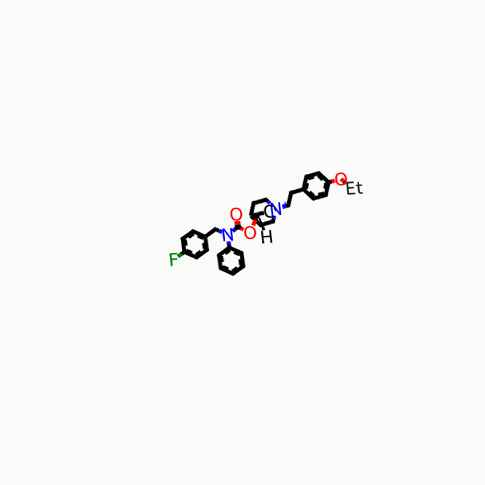 CCOc1ccc(CC[N+]23CCC(CC2)[C@@H](OC(=O)N(Cc2ccc(F)cc2)c2ccccc2)C3)cc1